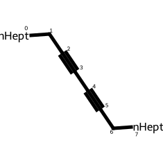 CCCCCCCCC#CC#CCCCCCCCC